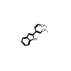 C/C=C\C(=C/C)c1cc2ccccc2[nH]1